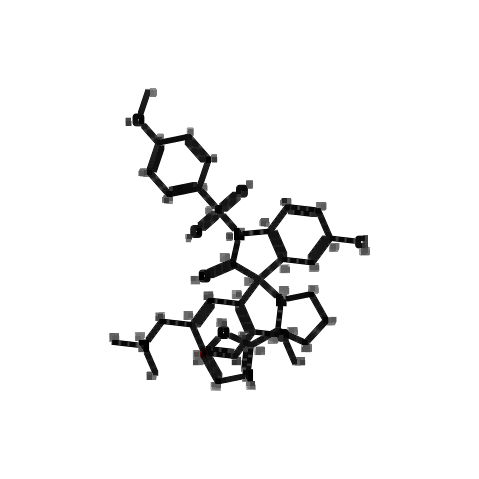 COc1ccc(S(=O)(=O)N2C(=O)C(c3cc(CN(C)C)ccc3OC)(N3CCCC3c3ncco3)c3cc(Cl)ccc32)cc1